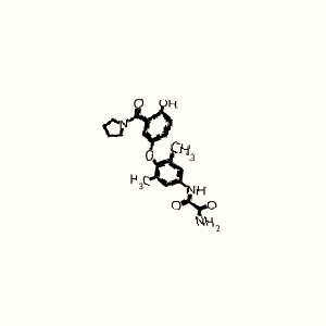 Cc1cc(NC(=O)C(N)=O)cc(C)c1Oc1ccc(O)c(C(=O)N2CCCC2)c1